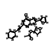 CC(=O)O[C@@H]1CCO[C@H]1n1c(-c2ccco2)nc2c(Cl)nc(C#Cc3ccccc3)nc21